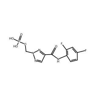 O=C(Nc1ccc(F)cc1F)c1cnn(COP(=O)(O)O)n1